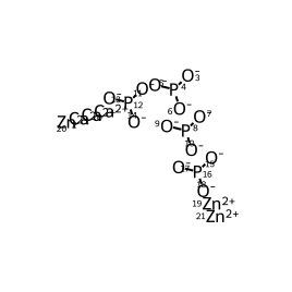 [Ca+2].[Ca+2].[Ca+2].[O-]P([O-])[O-].[O-]P([O-])[O-].[O-]P([O-])[O-].[O-]P([O-])[O-].[Zn+2].[Zn+2].[Zn+2]